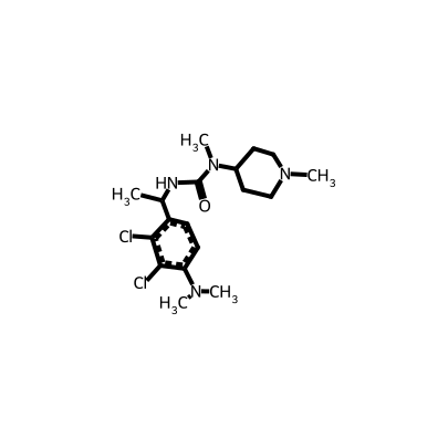 CC(NC(=O)N(C)C1CCN(C)CC1)c1ccc(N(C)C)c(Cl)c1Cl